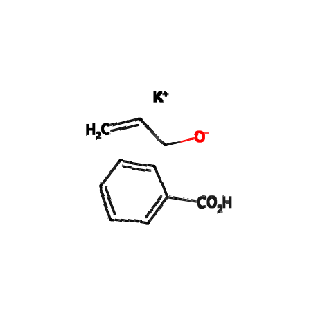 C=CC[O-].O=C(O)c1ccccc1.[K+]